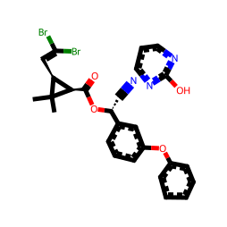 CC1(C)[C@H](C(=O)O[C@H](C#N)c2cccc(Oc3ccccc3)c2)[C@@H]1C=C(Br)Br.Oc1ncccn1